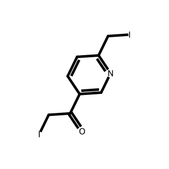 O=C(CI)c1ccc(CI)nc1